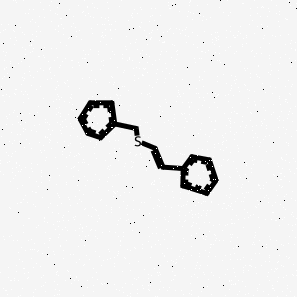 C(=Cc1ccccc1)SCc1ccccc1